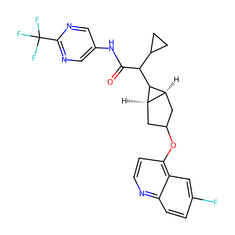 O=C(Nc1cnc(C(F)(F)F)nc1)C(C1CC1)C1[C@H]2CC(Oc3ccnc4ccc(F)cc34)C[C@@H]12